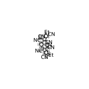 CCc1cc2c(cc1C#N)C(C#N)=C(c1cccc(C3=C(C#N)c4cc(C#N)c(CC)cc4C3=C(C#N)C#N)c1)C2=C(C#N)C#N